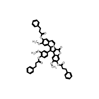 COc1cc(-c2c3c4cc(OC)c(OC(=O)CCc5ccccc5)cc4oc(=O)c3n3ccc4cc(OC(=O)CCc5ccccc5)c(OC)cc4c23)ccc1OC(=O)CCc1ccccc1